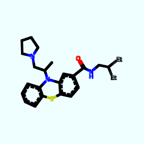 CCC(CC)CNC(=O)c1ccc2c(c1)N(C(C)CN1CCCC1)c1ccccc1S2